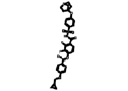 CC[C@@H](Oc1ccc(C(=O)NS(=O)(=O)c2ccc(OC34CCN(CC3)C4)cc2)c(F)c1F)c1ccc(OCC2CC2)cn1